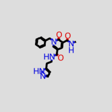 CNC(=O)c1cc(C(=O)NCCc2ccn[nH]2)cn(Cc2ccccc2)c1=O